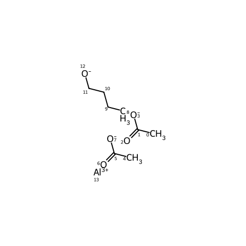 CC(=O)[O-].CC(=O)[O-].CCCC[O-].[Al+3]